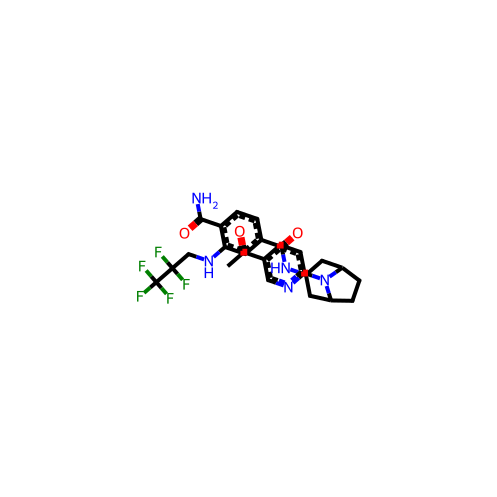 CC(=O)c1ccc(N2C3CCC2CC(NC(=O)c2ccc(C(N)=O)c(NCC(F)(F)C(F)(F)F)c2)C3)nc1